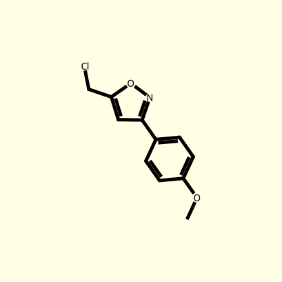 COc1ccc(-c2cc(CCl)on2)cc1